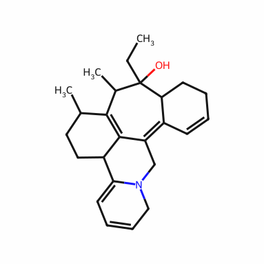 CCC1(O)C(C)C2=C3C(=C4C=CCCC41)CN1CC=CC=C1C3CCC2C